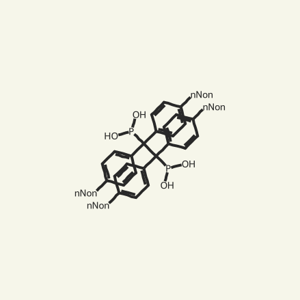 CCCCCCCCCc1ccc(C(c2ccc(CCCCCCCCC)cc2)(P(O)O)C(c2ccc(CCCCCCCCC)cc2)(c2ccc(CCCCCCCCC)cc2)P(O)O)cc1